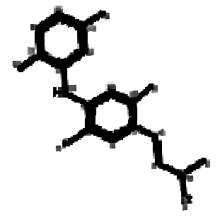 CCN(C)C=Nc1cc(F)c(Nc2cc(C)ccc2C)cc1C